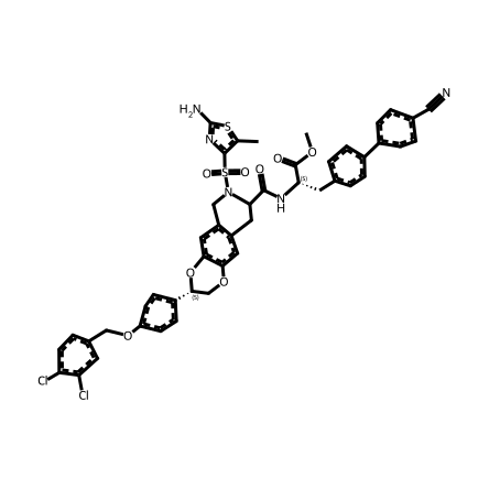 COC(=O)[C@H](Cc1ccc(-c2ccc(C#N)cc2)cc1)NC(=O)C1Cc2cc3c(cc2CN1S(=O)(=O)c1nc(N)sc1C)O[C@@H](c1ccc(OCc2ccc(Cl)c(Cl)c2)cc1)CO3